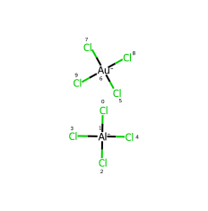 [Cl][Al-]([Cl])([Cl])[Cl].[Cl][Au-]([Cl])([Cl])[Cl]